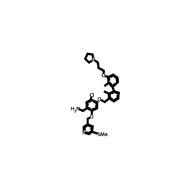 CSc1cncc(COc2cc(OCc3cccc(-c4cccc(OCCCN5CCCC5)c4C)c3C)c(Cl)cc2CN)c1